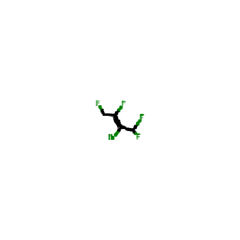 FCC(F)=C(Br)C(F)F